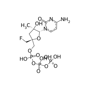 C[C@@]1(O)C[C@@](CF)(COP(=O)(O)OP(=O)(O)OP(=O)(O)O)O[C@H]1n1ccc(N)nc1=O